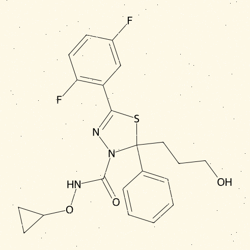 O=C(NOC1CC1)N1N=C(c2cc(F)ccc2F)SC1(CCCO)c1ccccc1